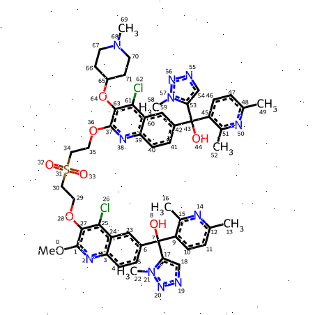 COc1nc2ccc(C(O)(c3ccc(C)nc3C)c3cnnn3C)cc2c(Cl)c1OCCS(=O)(=O)CCOc1nc2ccc(C(O)(c3ccc(C)nc3C)c3cnnn3C)cc2c(Cl)c1OC1CCN(C)CC1